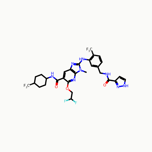 Cn1c(Nc2cc(CNC(=O)c3cc[nH]n3)ccc2C(F)(F)F)nc2cc(C(=O)NC3CCC(C(F)(F)F)CC3)c(OCC(F)F)nc21